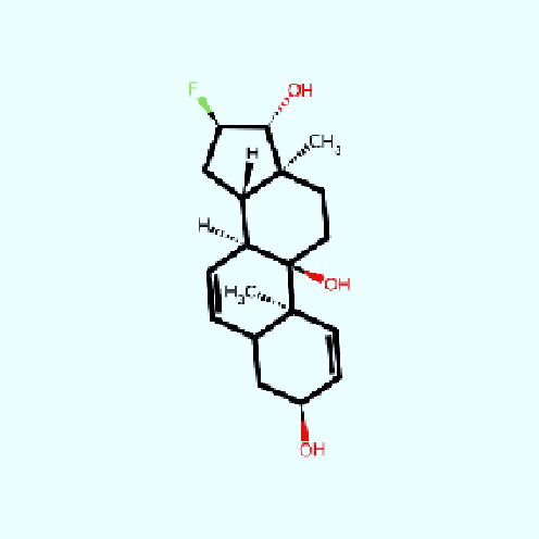 C[C@]12CC[C@@]3(O)[C@@H](C=CC4C[C@H](O)C=C[C@@]43C)[C@@H]1C[C@@H](F)[C@@H]2O